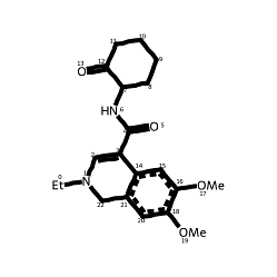 CCN1C=C(C(=O)NC2CCCCC2=O)c2cc(OC)c(OC)cc2C1